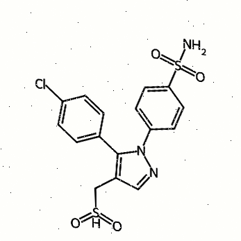 NS(=O)(=O)c1ccc(-n2ncc(C[SH](=O)=O)c2-c2ccc(Cl)cc2)cc1